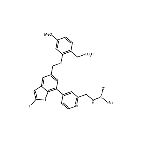 COc1ccc(CC(=O)O)c(OCc2cc(-c3ccnc(CN[S+]([O-])C(C)(C)C)c3)c3oc(F)cc3c2)c1